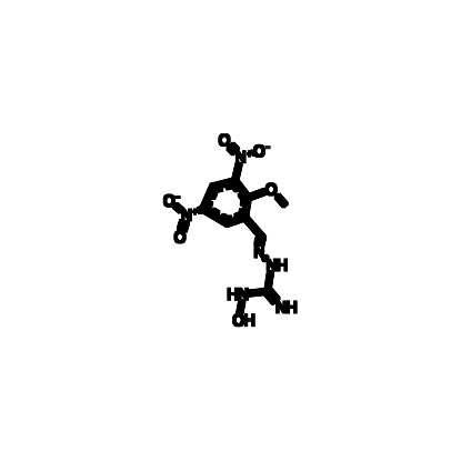 COc1c(C=NNC(=N)NO)cc([N+](=O)[O-])cc1[N+](=O)[O-]